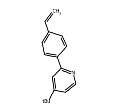 C=Cc1ccc(-c2cc(C(C)(C)C)ccn2)cc1